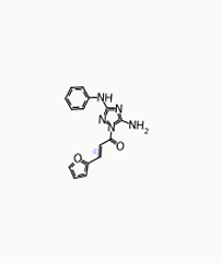 Nc1nc(Nc2ccccc2)nn1C(=O)/C=C/c1ccco1